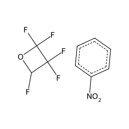 FC1OC(F)(F)C1(F)F.O=[N+]([O-])c1ccccc1